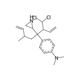 C=CC(C)CC(c1ccc(N(C)C)cc1)(C1CN1)C(C=C)C(Cl)Cl